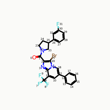 O=C(c1nc2c(C(F)(F)F)cc(-c3ccccc3)cn2c1Br)N1CCC(c2cccc(F)c2)C1